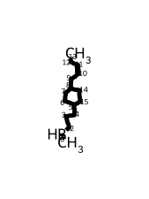 CBCCCC1CCC(C/C=C\CC)CC1